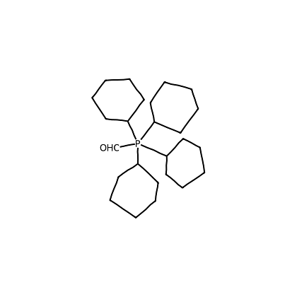 O=CP(C1CCCCC1)(C1CCCCC1)(C1CCCCC1)C1CCCCC1